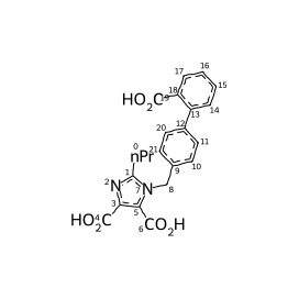 CCCc1nc(C(=O)O)c(C(=O)O)n1Cc1ccc(-c2ccccc2C(=O)O)cc1